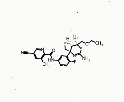 CCOC[C@@]1(C)SC(N)=N[C@](CF)(c2cc(NC(=O)c3ncc(C#N)cc3C)ccc2F)[C@@H]1C